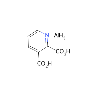 O=C(O)c1cccnc1C(=O)O.[AlH3]